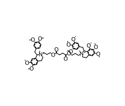 COc1ccc(CC2c3cc(OC)c(OC)cc3CC[N+]2(C)CCCOC(=O)CCC(=O)OCCC[N+]2(C)CCc3cc(OC)c(OC)c(OC)c3C2Cc2cc(OC)c(OC)c(OC)c2)cc1OC